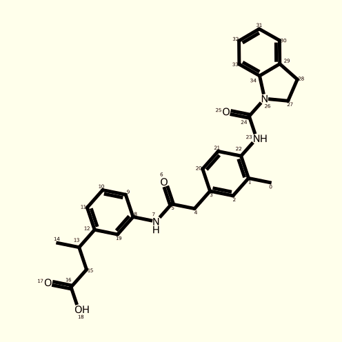 Cc1cc(CC(=O)Nc2cccc(C(C)CC(=O)O)c2)ccc1NC(=O)N1CCc2ccccc21